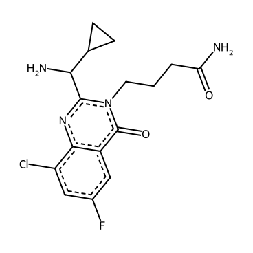 NC(=O)CCCn1c(C(N)C2CC2)nc2c(Cl)cc(F)cc2c1=O